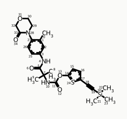 Cc1cc(NC(=O)C(C)(C)NC(=O)Oc2ccc(C#C[Si](C)(C)C)s2)ccc1N1CCOCC1=O